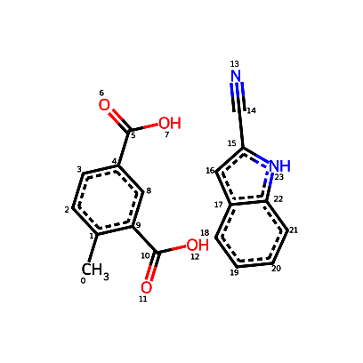 Cc1ccc(C(=O)O)cc1C(=O)O.N#Cc1cc2ccccc2[nH]1